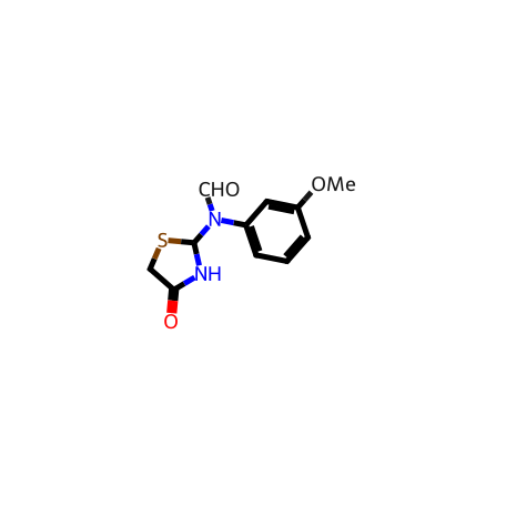 COc1cccc(N(C=O)C2NC(=O)CS2)c1